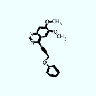 COc1cc2ncnc(C#CCOc3ccccc3)c2cc1OC